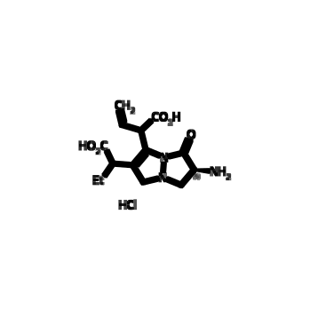 C=CC(C(=O)O)C1=C(C(CC)C(=O)O)CN2C[C@H](N)C(=O)N12.Cl